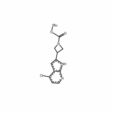 CC(C)(C)OC(=O)N1CC(c2cc3c(Cl)ccnc3[nH]2)C1